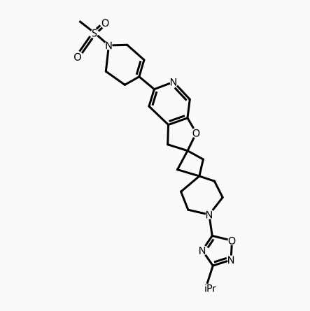 CC(C)c1noc(N2CCC3(CC2)CC2(Cc4cc(C5=CCN(S(C)(=O)=O)CC5)ncc4O2)C3)n1